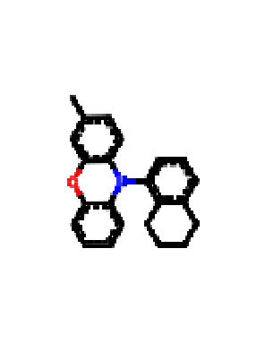 Cc1ccc2c(c1)Oc1ccccc1N2c1cccc2c1CCCC2